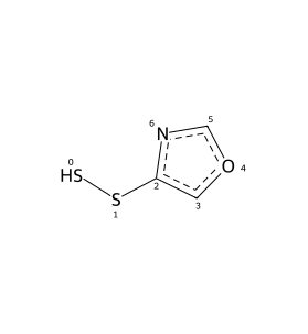 SSc1cocn1